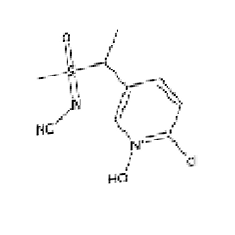 CC(c1ccc(Cl)[n+](O)c1)S(C)(=O)=NC#N